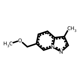 COCc1ccc2c(C)cnn2c1